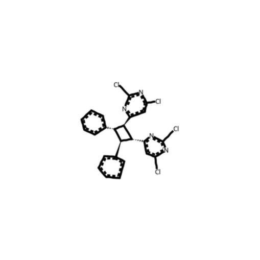 Clc1cc([C@@H]2[C@@H](c3ccccc3)[C@H](c3ccccc3)[C@H]2c2cc(Cl)nc(Cl)n2)nc(Cl)n1